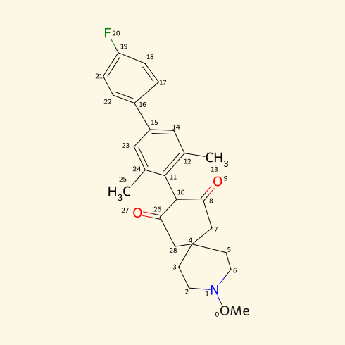 CON1CCC2(CC1)CC(=O)C(c1c(C)cc(-c3ccc(F)cc3)cc1C)C(=O)C2